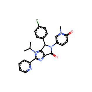 CC(C)n1c(-c2ccccn2)nc2c1C(c1ccc(Cl)cc1)N(c1ccc(=O)n(C)c1)C2=O